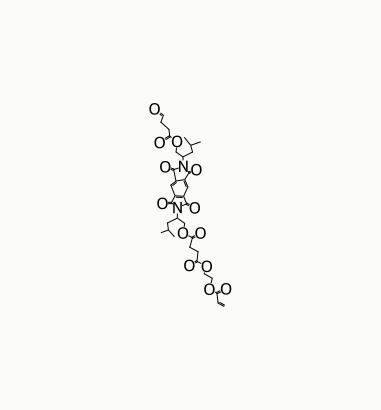 C=CC(=O)OCCOC(=O)CCC(=O)OCC(CC(C)C)n1c(=O)c2cc3c(=O)n(C(COC(=O)CCC=O)CC(C)C)c(=O)c3cc2c1=O